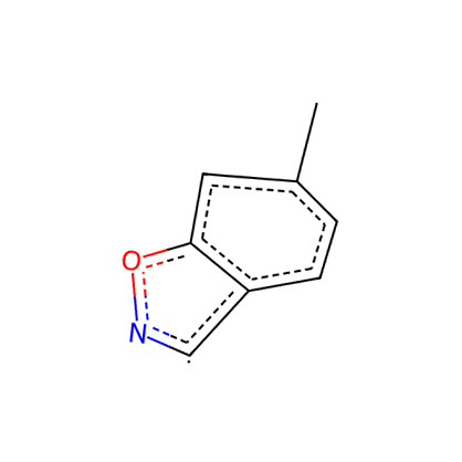 Cc1ccc2[c]noc2c1